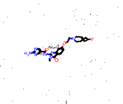 COc1c(OCCN2CCC3(CC2)CC(=O)C3)ccc2c(=O)n(C)c(NC(=O)c3cnc(N)nc3)nc12